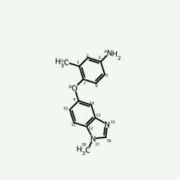 Cc1cc(N)ccc1Oc1ccc2c(c1)ncn2C